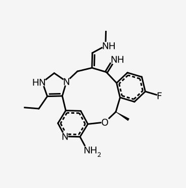 CCC1=C2c3cnc(N)c(c3)O[C@H](C)c3cc(F)ccc3C(=N)/C(=C\NC)CN2CN1